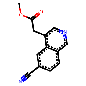 COC(=O)Cc1cncc2ccc(C#N)cc12